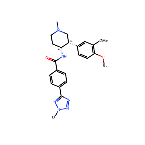 CCOc1ccc([C@H]2CN(C)CC[C@H]2NC(=O)c2ccc(-c3nnn(CC)n3)cc2)cc1OC